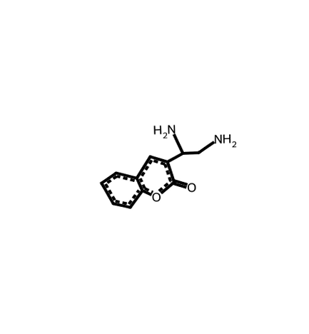 NCC(N)c1cc2ccccc2oc1=O